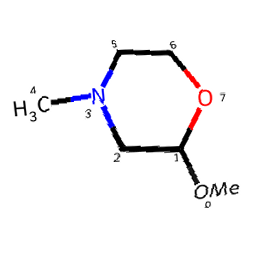 COC1CN(C)CCO1